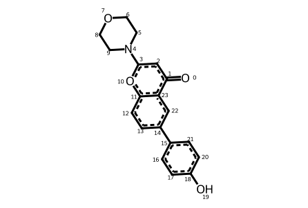 O=c1cc(N2CCOCC2)oc2ccc(-c3ccc(O)cc3)cc12